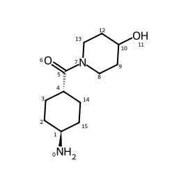 N[C@H]1CC[C@H](C(=O)N2CCC(O)CC2)CC1